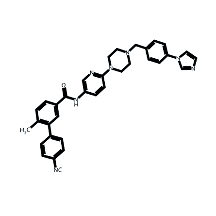 [C-]#[N+]c1ccc(-c2cc(C(=O)Nc3ccc(N4CCN(Cc5ccc(-n6ccnc6)cc5)CC4)nc3)ccc2C)cc1